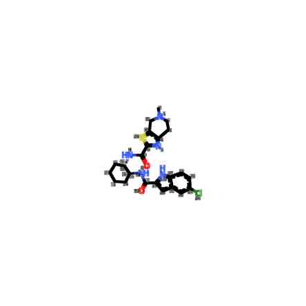 CN1CCc2nc(C(=O)N[C@H]3CCCC[C@@H]3NC(=O)c3cc4cc(Cl)ccc4[nH]3)sc2C1